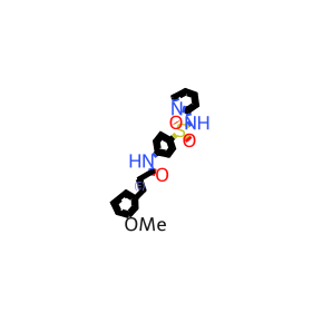 COc1cccc(/C=C/C(=O)Nc2ccc(S(=O)(=O)Nc3ccccn3)cc2)c1